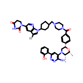 CCc1cn(C2CCC(CN3CCN(C(=O)c4ccc([C@H]5CN(c6cc(-c7ccccc7O)nnc6N)[C@@H](C)[C@@H](C)O5)cc4)CC3)CC2)c2ncc(N3CCC(=O)NC3=O)cc12